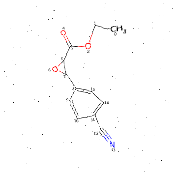 CCOC(=O)C1OC1c1ccc(C#N)cc1